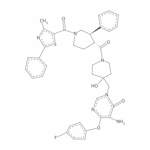 Cc1nc(-c2ccccc2)sc1C(=O)N1CC[C@@H](C(=O)N2CCC(O)(Cn3cnc(Oc4ccc(F)cc4)c(N)c3=O)CC2)[C@H](c2ccccc2)C1